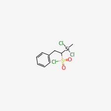 C[Si](Cl)(Cl)C(Cc1ccccc1)S(=O)(=O)Cl